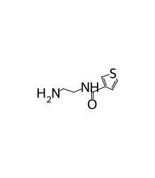 NCCNC(=O)c1ccsc1